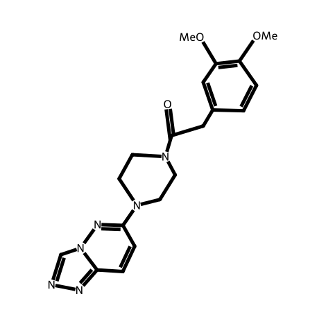 COc1ccc(CC(=O)N2CCN(c3ccc4nncn4n3)CC2)cc1OC